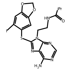 CC(C)C(=O)NCCn1c(Sc2cc3c(cc2I)OCO3)nc2c(N)ncnc21